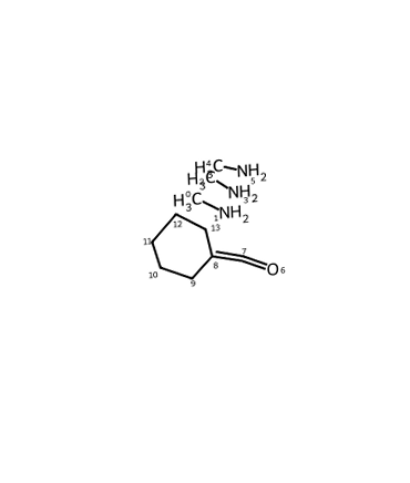 CN.CN.CN.O=C=C1CCCCC1